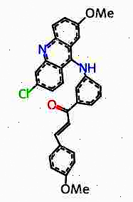 COc1ccc(C=CC(=O)c2cccc(Nc3c4ccc(Cl)cc4nc4ccc(OC)cc34)c2)cc1